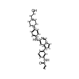 C=CC(=O)Nc1cccc(-c2ccn3cnc(Nc4ccc(N5CCN(CCO)CC5)cc4)cc23)c1